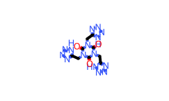 O=c1n(Cc2nnn[nH]2)c(=O)n(Cc2nnn[nH]2)c(=O)n1Cc1nnn[nH]1